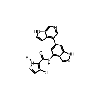 CCn1ncc(Cl)c1C(=O)Nc1cc(-c2cncc3[nH]ccc23)cc2[nH]ncc12